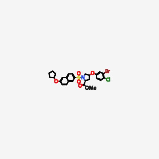 COC(=O)[C@@H]1C[C@H](Oc2ccc(Cl)c(Br)c2)CN1S(=O)(=O)c1ccc2cc(OC3CCCC3)ccc2c1